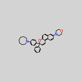 C1=CC(c2ccccc2)(c2ccc(N3CCCCCCC3)cc2)Oc2ccc3cc(N4CCOCC4)ccc3c21